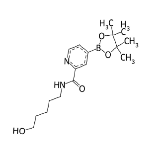 CC1(C)OB(c2ccnc(C(=O)NCCCCCO)c2)OC1(C)C